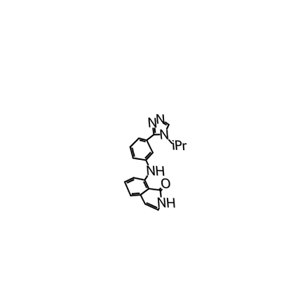 CC(C)n1cnnc1-c1cccc(Nc2cccc3cc[nH]c(=O)c23)c1